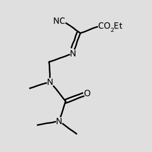 CCOC(=O)C(C#N)=NCN(C)C(=O)N(C)C